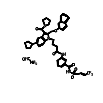 NC=O.O=C(CCCn1c(COc2ccc3ccccc3c2)c(C(=O)N2CCCC2)c2cc(C3CCCC3)ccc21)Nc1cccc(C(=O)NS(=O)(=O)CC=CC(F)(F)F)c1